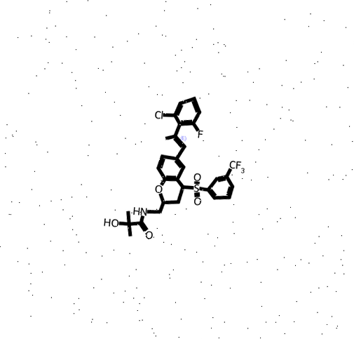 C/C(=C\c1ccc2c(c1)C(S(=O)(=O)c1cccc(C(F)(F)F)c1)CC(CNC(=O)C(C)(C)O)O2)c1c(F)cccc1Cl